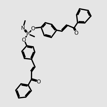 CN=P(C)(Oc1ccc(/C=C/C(=O)c2ccccc2)cc1)Oc1ccc(/C=C/C(=O)c2ccccc2)cc1